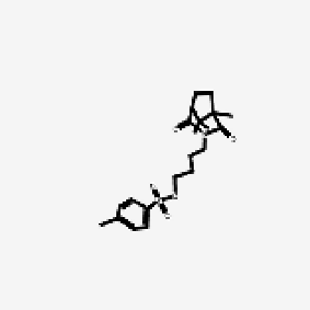 Cc1ccc(S(=O)(=O)OCCCCN2C(=O)C3CCC(C)(C2=O)C3(C)C)cc1